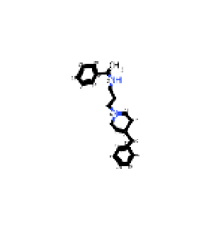 CC(NCCCN1CCC(Cc2ccccc2)CC1)c1ccccc1